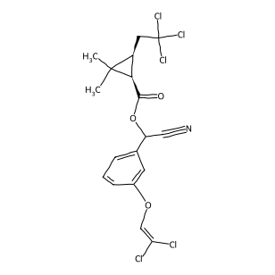 CC1(C)[C@H](C(=O)OC(C#N)c2cccc(OC=C(Cl)Cl)c2)[C@@H]1CC(Cl)(Cl)Cl